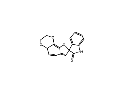 O=C1Nc2ccccc2C12C=C1C=CC3OCCOC3=C1O2